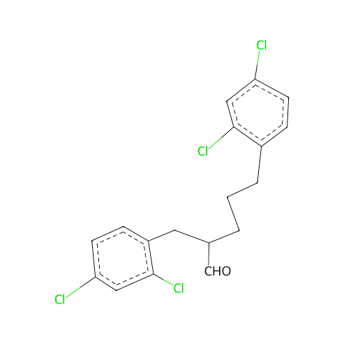 O=CC(CCCc1ccc(Cl)cc1Cl)Cc1ccc(Cl)cc1Cl